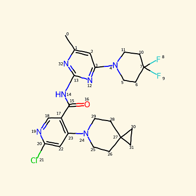 Cc1cc(N2CCC(F)(F)CC2)nc(NC(=O)c2cnc(Cl)cc2N2CCC3(CC2)CC3)n1